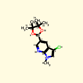 Cn1cc(Cl)c2cc(B3OC(C)(C)C(C)(C)O3)cnc21